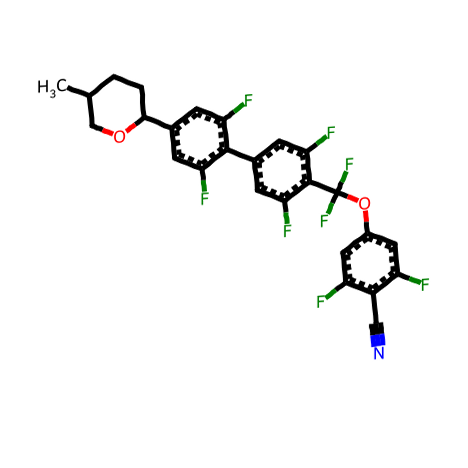 CC1CCC(c2cc(F)c(-c3cc(F)c(C(F)(F)Oc4cc(F)c(C#N)c(F)c4)c(F)c3)c(F)c2)OC1